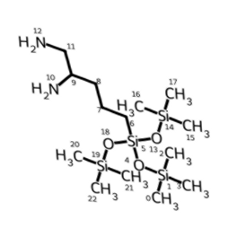 C[Si](C)(C)O[Si](CCCC(N)CN)(O[Si](C)(C)C)O[Si](C)(C)C